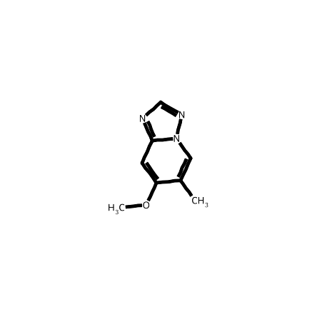 COc1cc2ncnn2cc1C